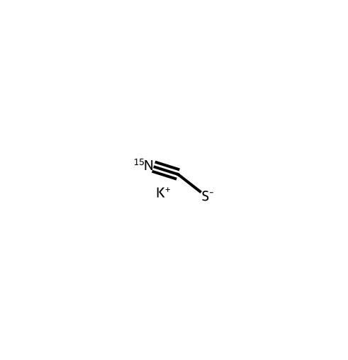 [15N]#C[S-].[K+]